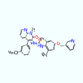 CCn1c(=O)c(NC(=O)Nc2c(C(C)C)cc(OCc3cccnc3)cc2C(C)C)c(-c2cccc(OC)c2)c2cccnc21